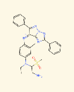 CCN(c1ccc(/N=C2/C(c3ccccc3)=Nn3nc(-c4ccccc4)nc32)c(C)c1)C(CN)S(C)(=O)=O